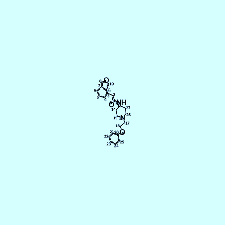 O=C(Cc1cccc2cocc12)NC1CCN(CCOc2ccccc2)CC1